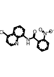 O=C(Nc1cccc2c(Cl)ccnc12)c1ccccc1[N+](=O)[O-]